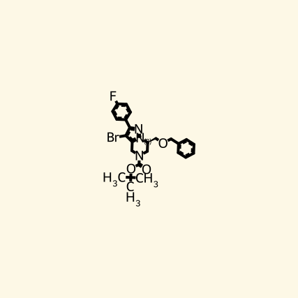 CC(C)(C)OC(=O)N1Cc2c(Br)c(-c3ccc(F)cc3)nn2[C@@H](COCc2ccccc2)C1